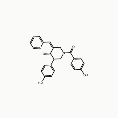 O=C1/C(=C\c2ccccn2)CN(C(=O)c2ccc(O)cc2)CC1c1ccc(O)cc1